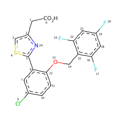 O=C(O)Cc1csc(-c2cc(Cl)ccc2OCc2c(F)cc(F)cc2F)n1